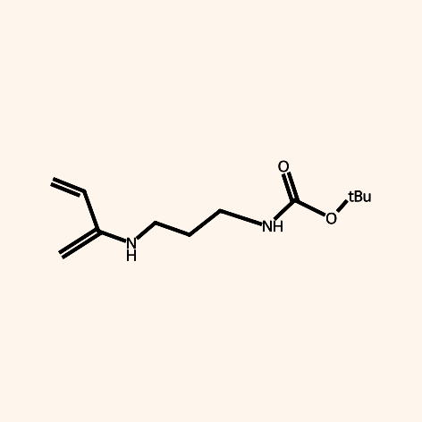 C=CC(=C)NCCCNC(=O)OC(C)(C)C